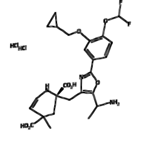 CC(N)c1oc(-c2ccc(OC(F)F)c(OCC3CC3)c2)nc1C[C@]1(C(=O)O)CC(C)(C(=O)O)C=CN1.Cl.Cl